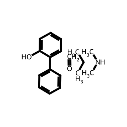 C=O.CCC.CNC.Oc1ccccc1-c1ccccc1